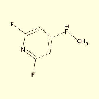 CPc1cc(F)nc(F)c1